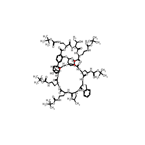 CC(C)C[C@@H]1NC(=O)[C@@H](Cc2ccccc2)NC(=O)[C@H](CCNC(=O)OC(C)(C)C)NC(=O)[C@@H](NC(=O)[C@H](CCNC(=O)OC(C)(C)C)NC(=O)[C@@H](NC(=O)[C@H](CCNC(=O)OC(C)(C)C)OC(=O)c2ccc(-c3ccccc3)cc2OC2CCCCO2)C(C)O)CCNC(=O)[C@H]([C@H](C)O)NC(=O)[C@H](CCNC(=O)OC(C)(C)C)NC(=O)[C@H](CCNC(=O)OC(C)(C)C)NC1=O